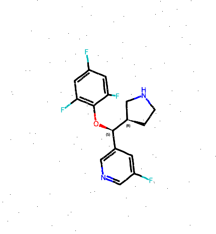 Fc1cncc([C@@H](Oc2c(F)cc(F)cc2F)[C@@H]2CCNC2)c1